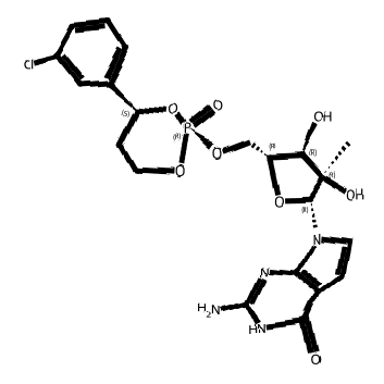 C[C@@]1(O)[C@H](O)[C@@H](CO[P@@]2(=O)OCC[C@@H](c3cccc(Cl)c3)O2)O[C@H]1n1ccc2c(=O)[nH]c(N)nc21